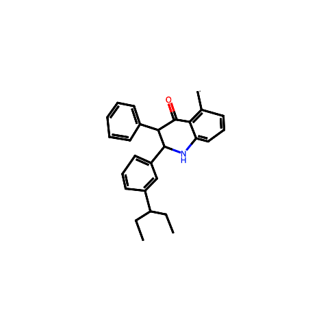 [CH2]c1cccc2c1C(=O)C(c1ccccc1)C(c1cccc(C(CC)CC)c1)N2